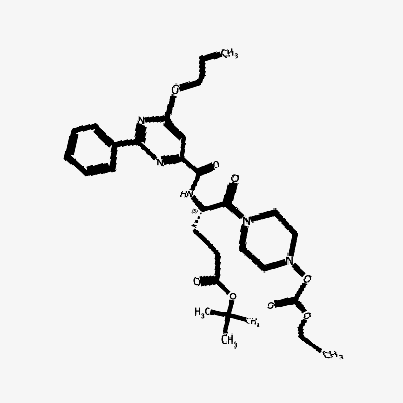 CCCOc1cc(C(=O)N[C@@H](CCC(=O)OC(C)(C)C)C(=O)N2CCN(OC(=O)OCC)CC2)nc(-c2ccccc2)n1